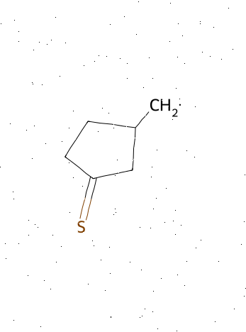 [CH2]C1CCC(=S)C1